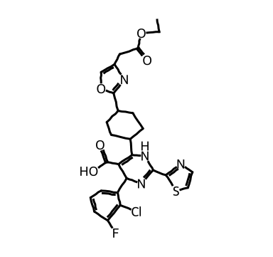 CCOC(=O)Cc1coc(C2CCC(C3=C(C(=O)O)C(c4cccc(F)c4Cl)N=C(c4nccs4)N3)CC2)n1